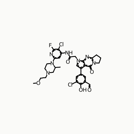 COCCN1CCN(c2cc(NC(=O)Cn3cc(-c4cc(Cl)c(O)c(C=O)c4)c4c(=O)n5c(nc43)CCC5)c(Cl)c(F)n2)C(C)C1